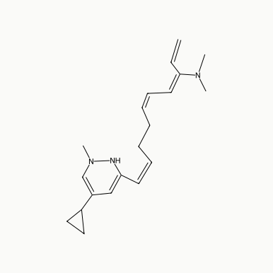 C=C/C(=C\C=C/CC/C=C\C1=CC(C2CC2)=CN(C)N1)N(C)C